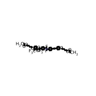 C=CC(=O)OCCCCOc1ccc(C#Cc2ccc(/C(F)=C(\F)c3ccc(C(=O)Oc4ccc(OCCCCOC(=O)C=C)c(C(F)(F)F)c4C(F)(F)F)cc3)cc2)cc1